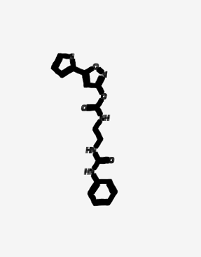 O=C(NCCNC(=O)Oc1cc(-c2cccs2)on1)Nc1ccccc1